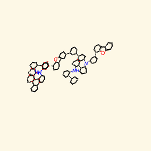 c1ccc(-c2ccccc2Nc2ccccc2-c2ccccc2N(c2ccc(-c3cccc(-c4ccc5oc6c(-c7cccc(N(c8ccccc8-c8ccc9ccccc9c8)c8ccccc8-c8ccccc8Nc8ccccc8-c8ccccc8)c7)cccc6c5c4)c3)cc2)c2cccc(-c3cccc4c3oc3ccccc34)c2)cc1